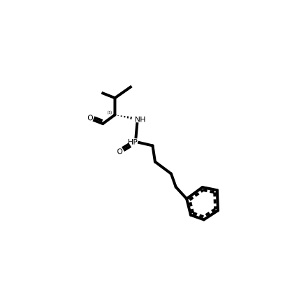 CC(C)[C@@H](C=O)N[PH](=O)CCCCc1ccccc1